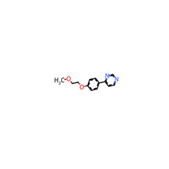 COCCOc1ccc(-c2ccncn2)cc1